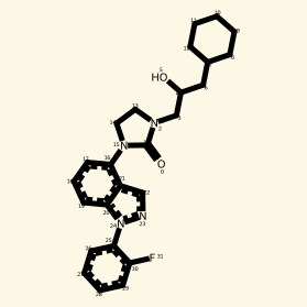 O=C1N(CC(O)CC2CCCCC2)CCN1c1cccc2c1cnn2-c1ccccc1F